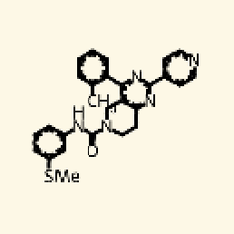 CSc1cccc(NC(=O)N2CCc3nc(-c4ccncc4)nc(-c4ccccc4C)c3C2)c1